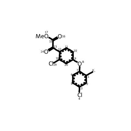 [CH2]c1cc(Cl)ccc1Oc1ccc(C(=O)C(=O)OC)c(Cl)c1